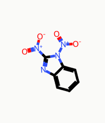 O=[N+]([O-])c1nc2ccccc2n1[N+](=O)[O-]